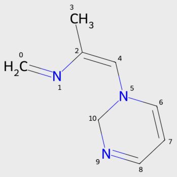 C=N/C(C)=C\N1C=CC=NC1